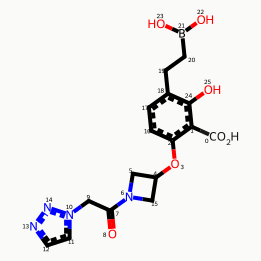 O=C(O)c1c(OC2CN(C(=O)Cn3ccnn3)C2)ccc(CCB(O)O)c1O